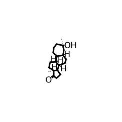 C[C@@]1(O)CCC[C@H]2[C@H](CC[C@@H]3[C@@H]2CC[C@]2(C)C(=O)CC[C@@H]32)C1